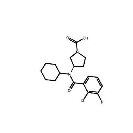 O=C(O)N1CC[C@H](N(C(=O)c2cccc(F)c2Cl)C2CCCCC2)C1